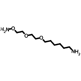 NCCCCCCOCCOCCON